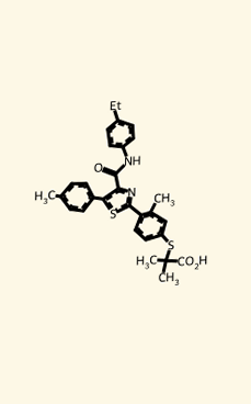 CCc1ccc(NC(=O)c2nc(-c3ccc(SC(C)(C)C(=O)O)cc3C)sc2-c2ccc(C)cc2)cc1